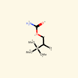 CCC(COC(N)=O)[Si](OC)(OC)OC